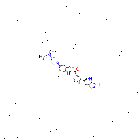 CN(C)C1CCN(c2ccc3nc(C(=O)c4ccnc(-c5cnc6[nH]ccc6c5)c4)[nH]c3c2)CC1